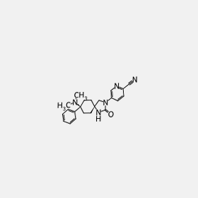 CN(C)[C@]1(c2ccccc2)CC[C@@]2(CC1)CN(c1ccc(C#N)nc1)C(=O)N2